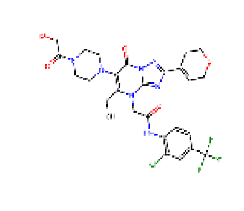 CCc1c(N2CCN(C(=O)CO)CC2)c(=O)n2nc(C3=CCOCC3)nc2n1CC(=O)Nc1ccc(C(F)(F)F)cc1Cl